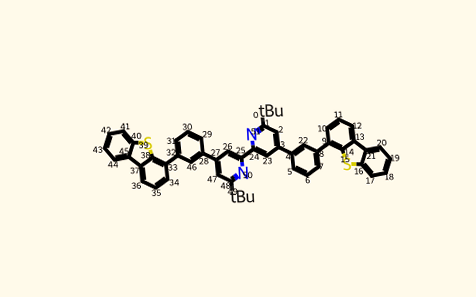 CC(C)(C)c1cc(-c2cccc(-c3cccc4c3sc3ccccc34)c2)cc(-c2cc(-c3cccc(-c4cccc5c4sc4ccccc45)c3)cc(C(C)(C)C)n2)n1